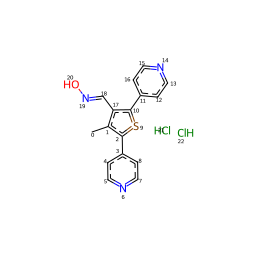 Cc1c(-c2ccncc2)sc(-c2ccncc2)c1C=NO.Cl.Cl